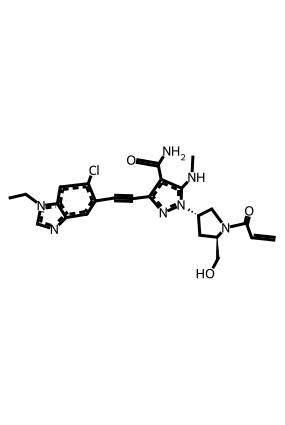 C=CC(=O)N1C[C@@H](n2nc(C#Cc3cc4ncn(CC)c4cc3Cl)c(C(N)=O)c2NC)C[C@@H]1CO